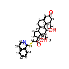 CC12CCC(=O)C=C1CCC1C2[C@@H](O)CC2(C)C1CC[C@]2(O)C(=O)CSc1nccc2ccccc12